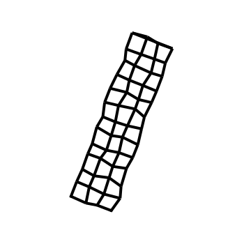 C1C2C3CC4C5C6C7C8C9C%10C%11C%12C%13C%14C%15C%16C%17C%15C%14%15C%17%14C%16C%16C%17C%18C%19C%20C%21C%22C%23C%24C1C21C34C52C%241C%231C62C72C%221C%211C82C92C%103C%114C%125C%13%15C%16%14C%175C%184C%193C%2012